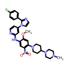 COc1cc(N2CCC(N3CCN(C)CC3)CC2)c([N+](=O)[O-])cc1Nc1cc(-n2ccnc2-c2ccc(F)cc2)ccn1